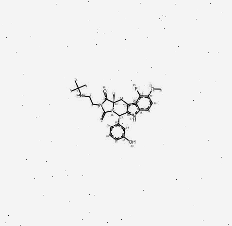 C=C1N(CCNC(C)(C)C)C(=O)[C@]2(C)Cc3c([nH]c4ccc(OC)c(F)c34)[C@@H](c3cccc(O)c3)N12